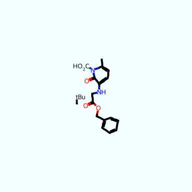 CC(C)(C)C.Cc1ccc(NCC(=O)OCc2ccccc2)c(=O)n1C(=O)O